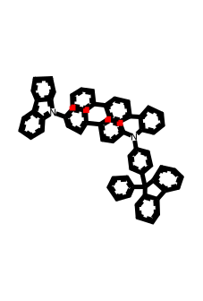 c1ccc(-c2ccc(-c3ccccc3N(c3ccc(-c4ccc(-n5c6ccccc6c6ccccc65)cc4)cc3)c3ccc(C4(c5ccccc5)c5ccccc5-c5ccccc54)cc3)cc2)cc1